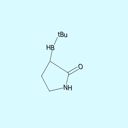 CC(C)(C)BC1CCNC1=O